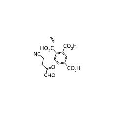 C=C.N#CCCC(=O)C=O.O=C(O)c1ccc(C(=O)O)c(C(=O)O)c1